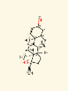 C#CC1(O)CC[C@H]2[C@@H]3CCC4CC(O)C=C[C@]4(C)[C@@H]3CC[C@@]21C